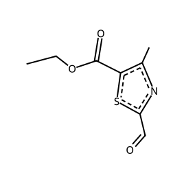 CCOC(=O)c1sc(C=O)nc1C